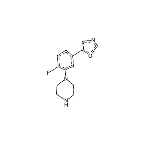 Fc1ccc(-c2cnco2)cc1N1CCNCC1